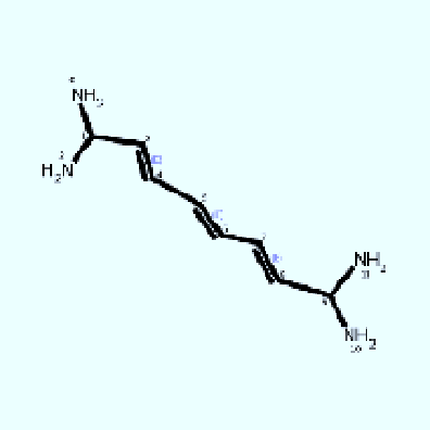 NC(N)/C=C/C=C/C=C/C(N)N